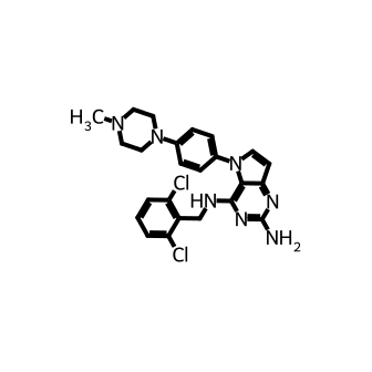 CN1CCN(c2ccc(-n3ccc4nc(N)nc(NCc5c(Cl)cccc5Cl)c43)cc2)CC1